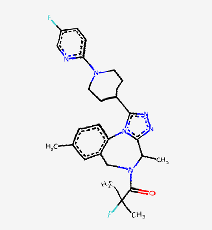 Cc1ccc2c(c1)CN(C(=O)C(C)(C)F)C(C)c1nnc(C3CCN(c4ccc(F)cn4)CC3)n1-2